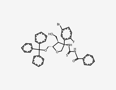 O=C(NC(=S)N[C@@]1(c2cc(Br)ccc2F)CO[C@H](COC(c2ccccc2)(c2ccccc2)c2ccccc2)[C@H]1CO)c1ccccc1